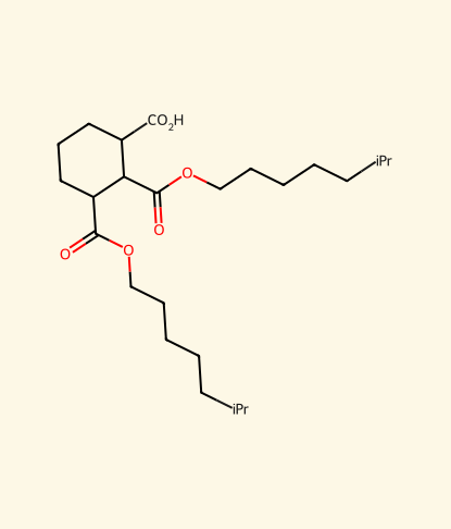 CC(C)CCCCCOC(=O)C1CCCC(C(=O)O)C1C(=O)OCCCCCC(C)C